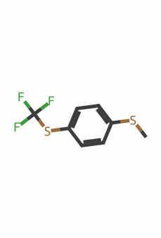 CSc1ccc(SC(F)(F)F)cc1